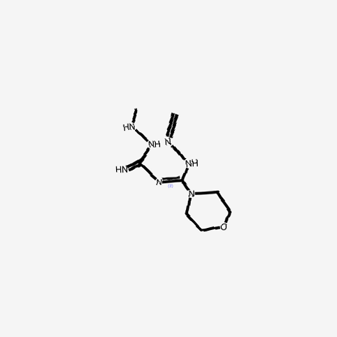 C=NN/C(=N\C(=N)NNC)N1CCOCC1